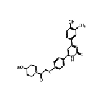 Cc1cc(-c2cc(-c3ccc(OCC(=O)N4CCC(O)CC4)cc3)[nH]c(=O)n2)ccc1O